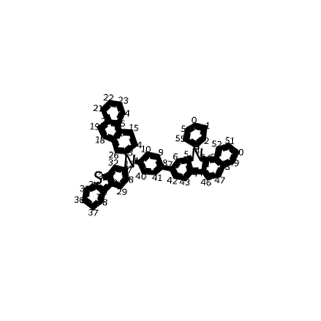 c1ccc(-n2c3cc(-c4ccc(N(c5ccc6c(ccc7ccccc76)c5)c5ccc6c(c5)sc5ccccc56)cc4)ccc3c3ccc4ccccc4c32)cc1